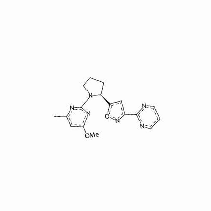 COc1cc(C)nc(N2CCC[C@H]2c2cc(-c3ncccn3)no2)n1